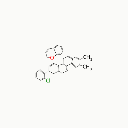 C1=Cc2ccccc2OC1.CC1=Cc2ccc3c(c2=CC1C)=CCC1=C3C=C[C@@H](c2ccccc2Cl)C1